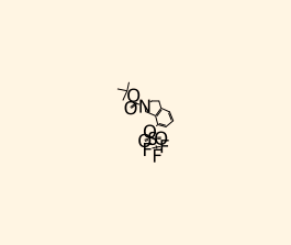 CC(C)(C)OC(=O)N1CCc2cccc(OS(=O)(=O)C(F)(F)F)c2C1